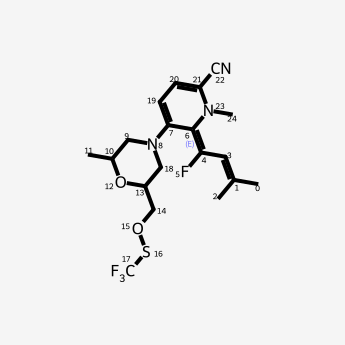 CC(C)=C/C(F)=C1/C(N2CC(C)OC(COSC(F)(F)F)C2)=CC=C(C#N)N1C